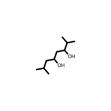 CC(C)CC(O)CC(O)C(C)C